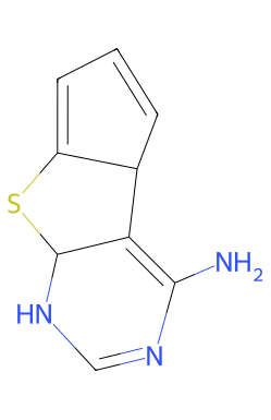 NC1=C2C(NC=N1)SC1=CC=CC12